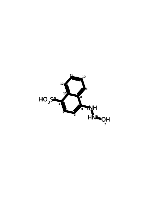 O=S(=O)(O)c1ccc(NNO)c2ccccc12